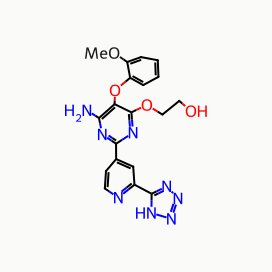 COc1ccccc1Oc1c(N)nc(-c2ccnc(-c3nnn[nH]3)c2)nc1OCCO